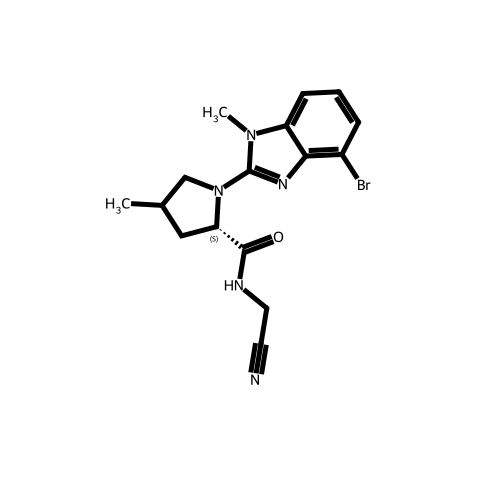 CC1C[C@@H](C(=O)NCC#N)N(c2nc3c(Br)cccc3n2C)C1